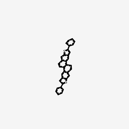 c1ccc(-c2cc3cc4c(ccc5c6cc7cc(-c8ccccc8)sc7cc6ccc45)cc3s2)cc1